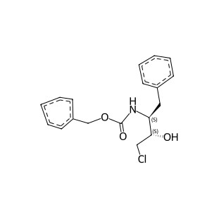 O=C(N[C@@H](Cc1ccccc1)[C@H](O)CCl)OCc1ccccc1